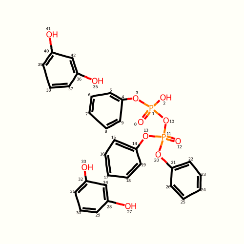 O=P(O)(Oc1ccccc1)OP(=O)(Oc1ccccc1)Oc1ccccc1.Oc1cccc(O)c1.Oc1cccc(O)c1